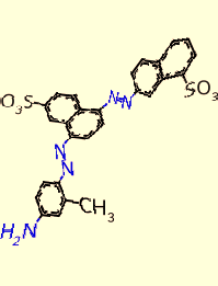 Cc1cc(N)ccc1N=Nc1ccc(N=Nc2ccc3cccc(S(=O)(=O)O)c3c2)c2ccc(S(=O)(=O)O)cc12